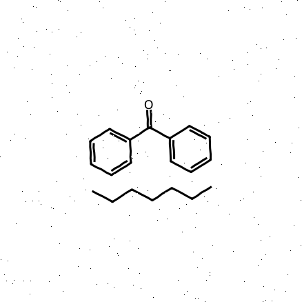 CCCCCCC.O=C(c1ccccc1)c1ccccc1